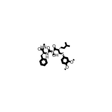 CNC(=O)[C@H](Cc1ccccc1)NC(=O)N(O)C(=O)[C@H](CCC(C)C)CSc1ccc(OC)c(OC)c1